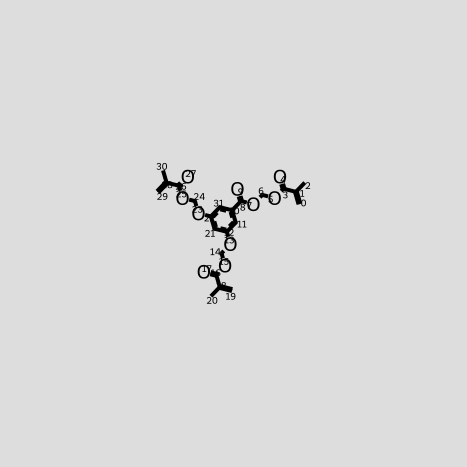 C=C(C)C(=O)OCOC(=O)c1cc(OCOC(=O)C(=C)C)cc(OCOC(=O)C(=C)C)c1